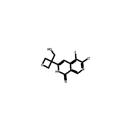 O=c1[nH]c(C2(CO)COC2)cc2c(F)c(Cl)ncc12